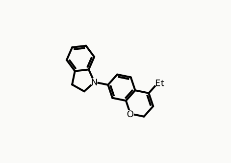 CCC1=CCOc2cc(N3CCc4ccccc43)ccc21